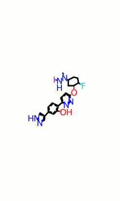 CN(NI)C1CCC(F)[C@@H](Oc2ccc(-c3ccc(-c4cn[nH]c4)cc3O)nn2)C1